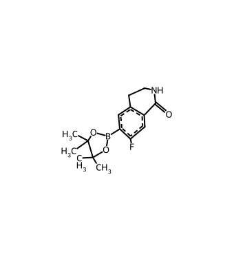 CC1(C)OB(c2cc3c(cc2F)C(=O)NCC3)OC1(C)C